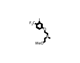 COCCN(C)CCOc1ccc(C(F)(F)F)c(I)c1